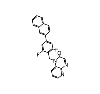 O=c1cnc2ncccc2n1Cc1c(F)cc(-c2ccc3ccccc3c2)cc1F